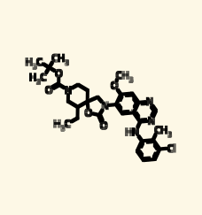 CCC1CN(C(=O)OC(C)(C)C)CCC12CN(c1cc3c(Nc4cccc(Cl)c4C)ncnc3cc1OC)C(=O)O2